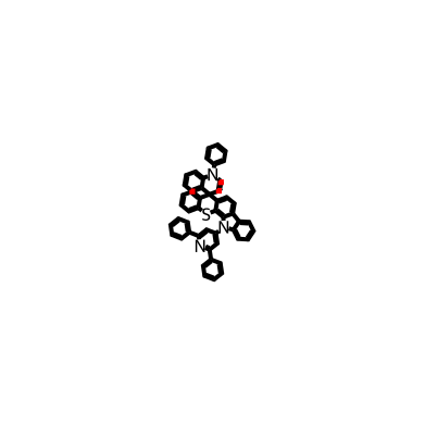 c1ccc(-c2cc(-n3c4ccccc4c4ccc5c(c43)Sc3ccccc3C53c4ccccc4N(c4ccccc4)c4ccccc43)cc(-c3ccccc3)n2)cc1